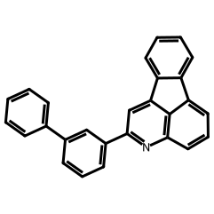 c1ccc(-c2cccc(-c3cc4c5c(cccc5n3)-c3ccccc3-4)c2)cc1